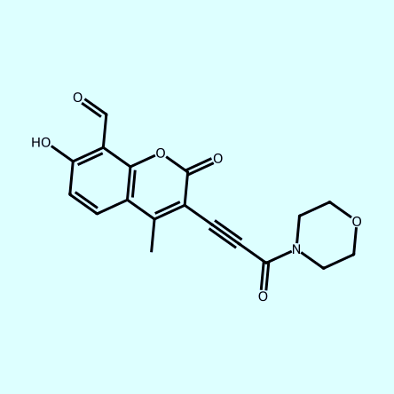 Cc1c(C#CC(=O)N2CCOCC2)c(=O)oc2c(C=O)c(O)ccc12